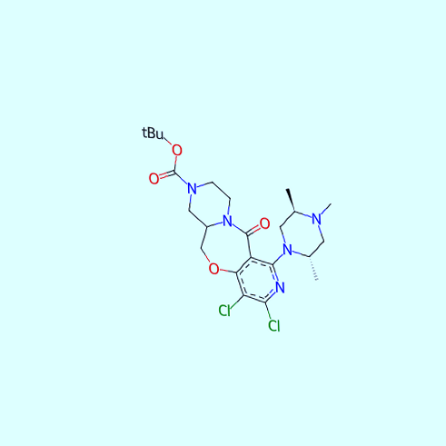 C[C@@H]1CN(c2nc(Cl)c(Cl)c3c2C(=O)N2CCN(C(=O)OC(C)(C)C)CC2CO3)[C@@H](C)CN1C